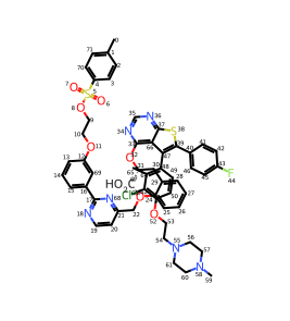 Cc1ccc(S(=O)(=O)OCCOc2cccc(-c3nccc(COc4ccccc4C[C@@H](Oc4ncnc5sc(-c6ccc(F)cc6)c(-c6ccc(OCCN7CCN(C)CC7)c(Cl)c6C)c45)C(=O)O)n3)c2)cc1